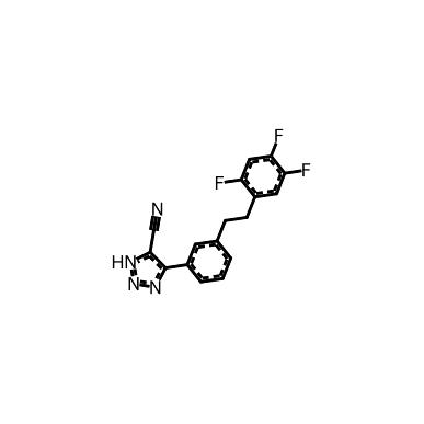 N#Cc1[nH]nnc1-c1cccc(CCc2cc(F)c(F)cc2F)c1